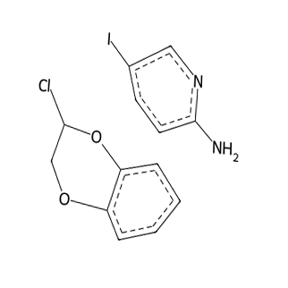 ClC1COc2ccccc2O1.Nc1ccc(I)cn1